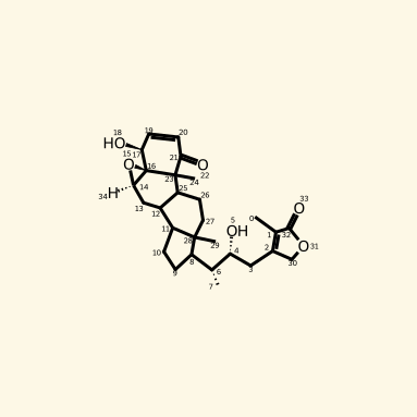 CC1=C(C[C@@H](O)[C@H](C)C2CCC3C4C[C@H]5O[C@]56[C@@H](O)C=CC(=O)C6(C)C4CCC32C)COC1=O